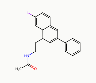 CC(=O)NCCc1cc(-c2ccccc2)cc2ccc(I)cc12